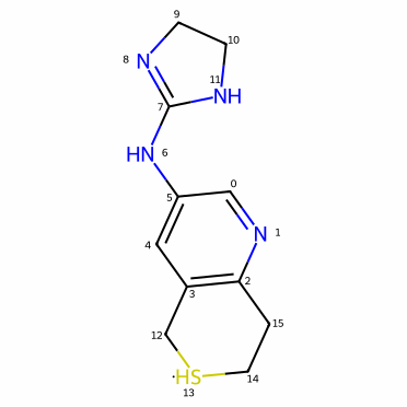 c1nc2c(cc1NC1=NCCN1)C[SH]CC2